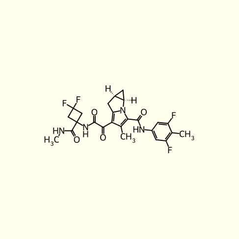 CNC(=O)C1(NC(=O)C(=O)c2c(C)c(C(=O)Nc3cc(F)c(C)c(F)c3)n3c2C[C@H]2C[C@H]23)CC(F)(F)C1